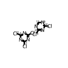 Clc1nc(Cl)nc(Cl)n1.Clc1ncnc(Cl)n1